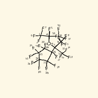 FC(F)(F)C(F)(OC(C(F)(F)F)(C(F)(F)F)C1(F)C(F)(F)C(F)(F)C(F)(F)C1(F)F)C(F)(F)F